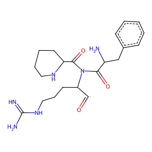 N=C(N)NCCCC([C]=O)N(C(=O)C(N)Cc1ccccc1)C(=O)C1CCCCN1